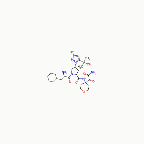 CC(C)(O)c1cnnn1C1C[C@@H](C(=O)NC2(C(=O)C(N)=O)CCOCC2)N(C(=O)[C@H](N)CC2CCCCC2)C1.Cl